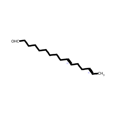 C/C=C/CC/C=C/CCCCCCCCC=O